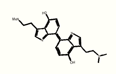 CNCCC1=CN=c2c1c(O)ccc2=c1ccc(O)c2c1=NC=C2CCN(C)C